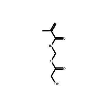 C=C(C)C(=O)NCOC(=O)CO